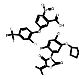 CC(C)=C1OC(=O)N(c2cc(OC3CCCC3)c(Cl)cc2F)C1=O.O=C(O)c1cc(Oc2ccc(C(F)(F)F)cc2Cl)ccc1[N+](=O)[O-]